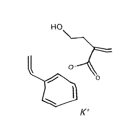 C=C(CCO)C(=O)[O-].C=Cc1ccccc1.[K+]